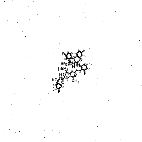 CC[C@@H](NC(=O)OC[C@@H]1[C@H](C)O[C@H](CCc2c(F)cccc2NC(=O)C(NC(=O)OC(C)(C)C)C(c2ccc(F)cc2)c2ccc(F)cc2)CN1C(=O)OC(C)(C)C)c1ccc(F)cc1